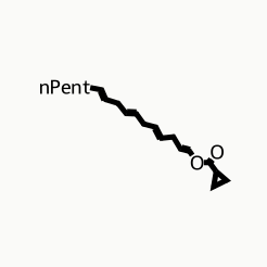 CCCCCC=CCC=CCC=CCC=COC(=O)C1CC1